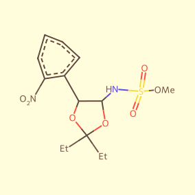 CCC1(CC)OC(NS(=O)(=O)OC)C(c2ccccc2[N+](=O)[O-])O1